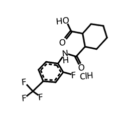 Cl.O=C(O)C1CCCCC1C(=O)Nc1ccc(C(F)(F)F)cc1F